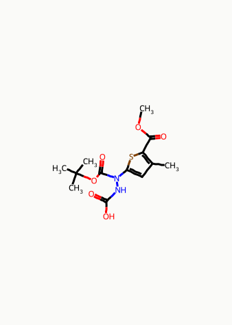 COC(=O)c1sc(N(NC(=O)O)C(=O)OC(C)(C)C)cc1C